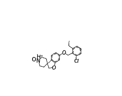 CCc1cccc(Cl)c1COc1ccc2c(c1)OCC21CC[NH+]([O-])CC1